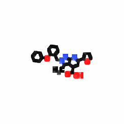 Cc1c2c(C(=O)O)cc(-c3ccco3)nc2nn1Cc1ccccc1Oc1ccccc1